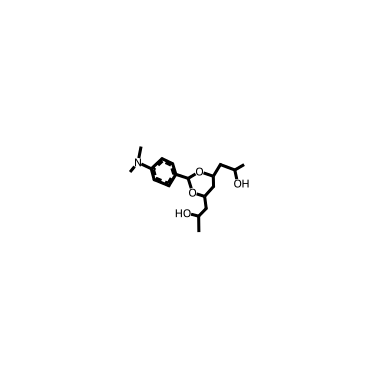 CC(O)CC1CC(CC(C)O)OC(c2ccc(N(C)C)cc2)O1